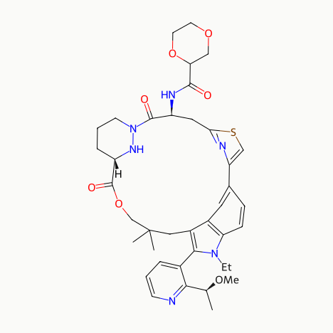 CCn1c(-c2cccnc2[C@H](C)OC)c2c3cc(ccc31)-c1csc(n1)C[C@H](NC(=O)C1COCCO1)C(=O)N1CCC[C@H](N1)C(=O)OCC(C)(C)C2